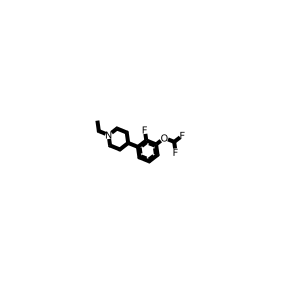 CCN1CCC(c2cccc(OC(F)F)c2F)CC1